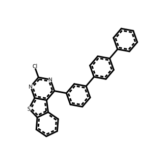 Clc1nc(-c2cccc(-c3ccc(-c4ccccc4)cc3)c2)c2c(n1)sc1ccccc12